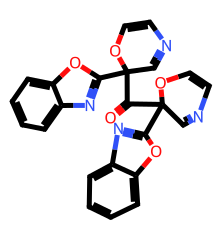 O=C(C1(c2nc3ccccc3o2)C=NC=CO1)C1(c2nc3ccccc3o2)C=NC=CO1